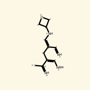 CN/C=C(/C/C(C=N)=C/NC1COC1)C(=N)I